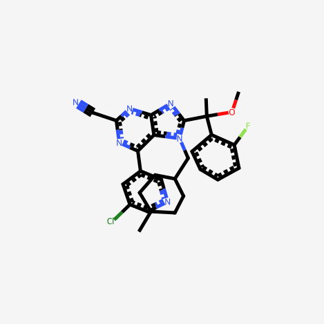 COC(C)(c1ccccc1F)c1nc2nc(C#N)nc(-c3cncc(Cl)c3)c2n1CC1CCC(C)CC1